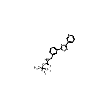 CC(C)(C)OC(=O)NCc1cccc(-c2nc(-c3cccnc3)no2)c1